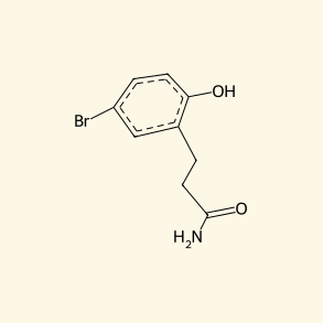 NC(=O)CCc1cc(Br)ccc1O